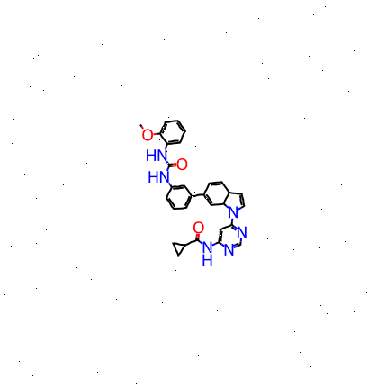 COc1ccccc1NC(=O)Nc1cccc(C2=CC3C(C=C2)C=CN3c2cc(NC(=O)C3CC3)ncn2)c1